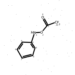 O=C(ONc1ccccc1)C(F)(F)F